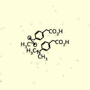 CN(C)c1ccc(CC(=O)O)cc1.CS(=O)(=O)c1ccc(CC(=O)O)cc1